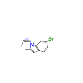 C/C=C\n1c(C)cc2ccc(Br)cc21